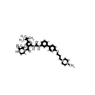 CN1CCN(CCCOc2ccc(-c3cccc(NC(=O)Nc4sc(C(C)(C)C)cc4C(=O)N4CCNC(=O)C4(C)C)c3)cn2)CC1